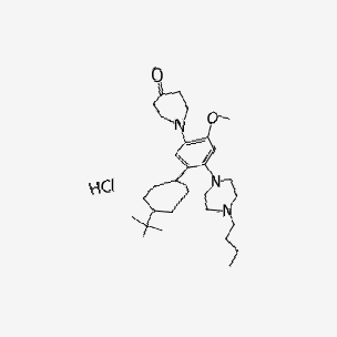 CCCCN1CCN(c2cc(OC)c(N3CCC(=O)CC3)cc2C2CCC(C(C)(C)C)CC2)CC1.Cl